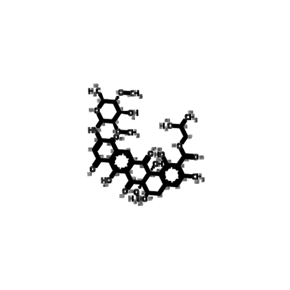 CO[C@@H]1[C@@H](O)[C@@H](OC)C(NC2=CC(=O)c3c(cc4c(c3O)C(=O)[C@]3(OC)[C@H](O)Cc5cc(C)c(C(=O)OCC(C)C)c(O)c5[C@]3(O)C4=O)C2=O)O[C@H]1C